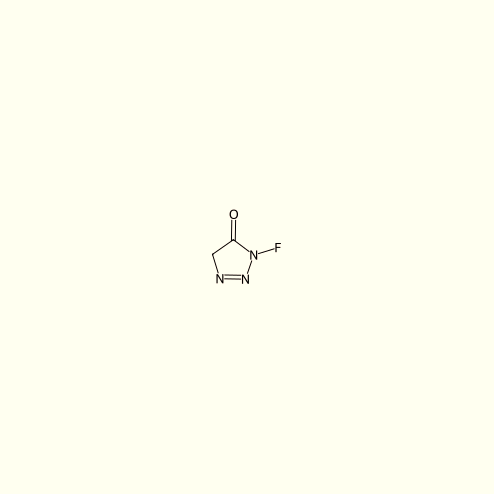 O=C1CN=NN1F